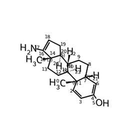 C[C@]12C=CC(O)=C[C@H]1CC[C@@H]1[C@@H]2CC[C@]2(C)C(N)=CC[C@@H]12